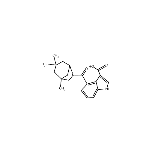 CC1(C)CC2CC(C)(CN2C(=O)c2cccc3[nH]cc(C(=O)O)c23)C1